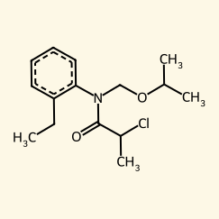 CCc1ccccc1N(COC(C)C)C(=O)C(C)Cl